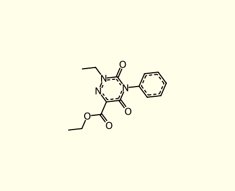 CCOC(=O)c1nn(CC)c(=O)n(-c2ccccc2)c1=O